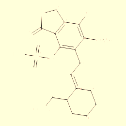 COc1c(C)c2c(c(OS(=O)(=O)C(F)(F)F)c1C/C=C1\CCCCC1CC(=O)O)C(=O)OC2